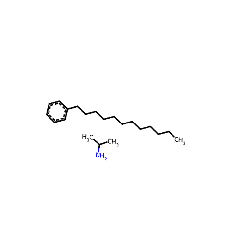 CC(C)N.CCCCCCCCCCCCc1ccccc1